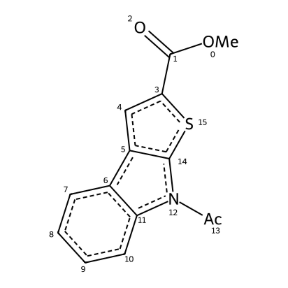 COC(=O)c1cc2c3ccccc3n(C(C)=O)c2s1